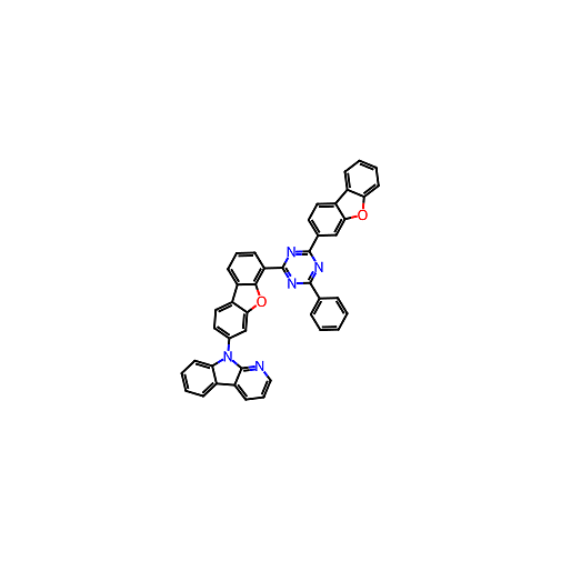 c1ccc(-c2nc(-c3ccc4c(c3)oc3ccccc34)nc(-c3cccc4c3oc3cc(-n5c6ccccc6c6cccnc65)ccc34)n2)cc1